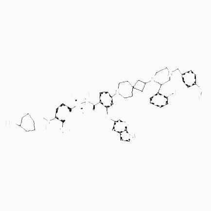 CCOc1ccc(CN2CCN(C3CC4(CCN(c5ccc(C(=O)NS(=O)(=O)c6ccc(NC[C@H]7CC[C@](C)(O)CC7)c([N+](=O)[O-])c6)c(Oc6cnc7[nH]ccc7c6)c5)CC4)C3)C(c3ccccc3C(C)C)C2)cc1